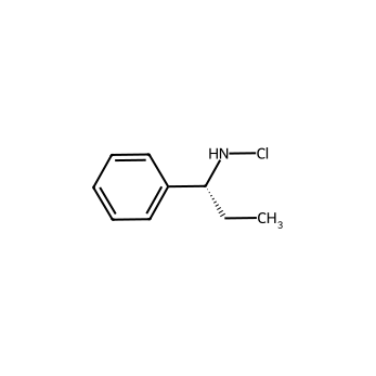 CC[C@@H](NCl)c1ccccc1